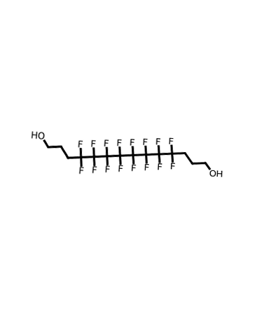 OCCCC(F)(F)C(F)(F)C(F)(F)C(F)(F)C(F)(F)C(F)(F)C(F)(F)C(F)(F)CCCO